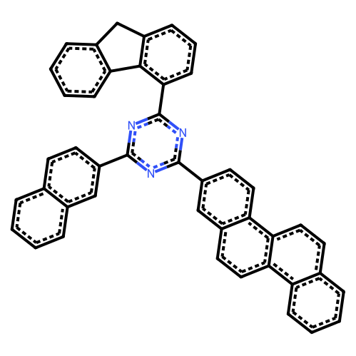 c1ccc2c(c1)Cc1cccc(-c3nc(-c4ccc5ccccc5c4)nc(-c4ccc5c(ccc6c7ccccc7ccc56)c4)n3)c1-2